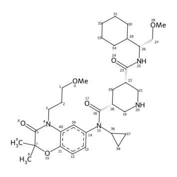 COCCCN1C(=O)C(C)(C)Oc2ccc(N(C(=O)[C@H]3CNC[C@@H](C(=O)N[C@@H](COC)C4CCCCC4)C3)C3CC3)cc21